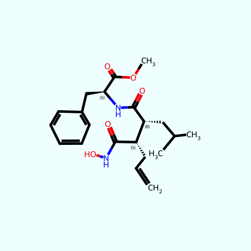 C=CC[C@H](C(=O)NO)[C@@H](CC(C)C)C(=O)N[C@@H](Cc1ccccc1)C(=O)OC